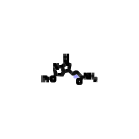 CC(C)Oc1cnc2[nH]cc(/C=C/C(N)=O)c2c1